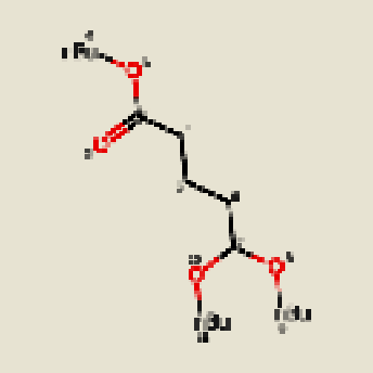 CCCCOC(=O)CCCC(OCCCC)OCCCC